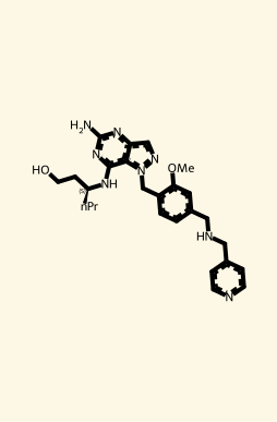 CCC[C@@H](CCO)Nc1nc(N)nc2cnn(Cc3ccc(CNCc4ccncc4)cc3OC)c12